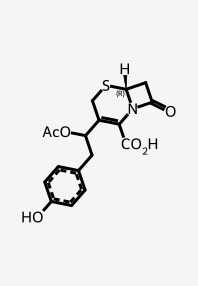 CC(=O)OC(Cc1ccc(O)cc1)C1=C(C(=O)O)N2C(=O)C[C@H]2SC1